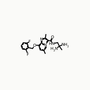 Cc1cc(OCc2c(F)cccc2F)c2nc(C)c(C(=O)NCC(C)(N)N)n2c1